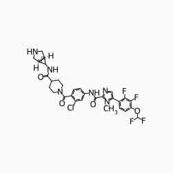 Cn1c(-c2ccc(OC(F)F)c(F)c2F)cnc1C(=O)Nc1ccc(C(=O)N2CCC(C(=O)NC3[C@H]4CNC[C@@H]34)CC2)c(Cl)c1